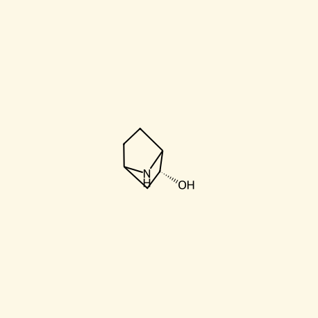 O[C@@H]1CC2CCC1N2